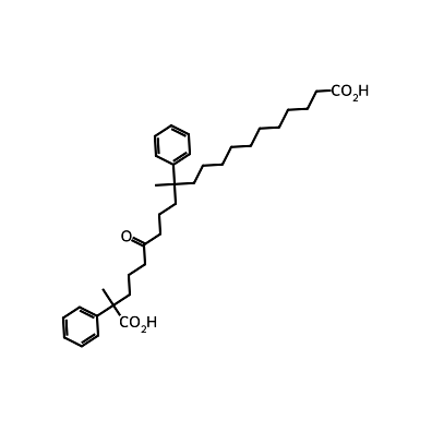 CC(CCCCCCCCCCC(=O)O)(CCCC(=O)CCCC(C)(C(=O)O)c1ccccc1)c1ccccc1